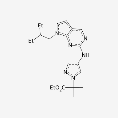 CCOC(=O)C(C)(C)n1cc(Nc2ncc3ccn(CC(CC)CC)c3n2)cn1